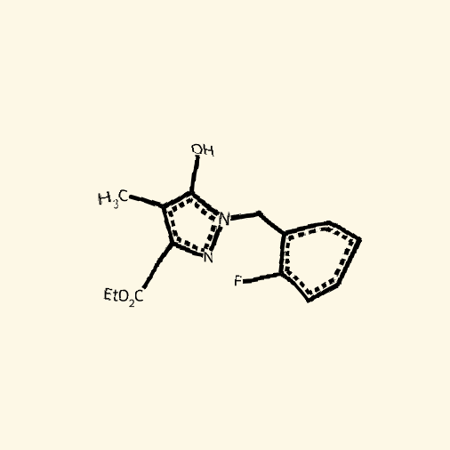 CCOC(=O)c1nn(Cc2ccccc2F)c(O)c1C